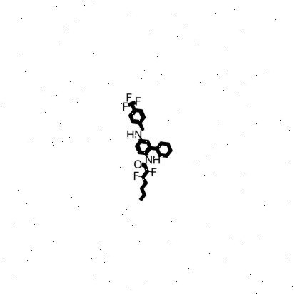 CCCC[C@H](F)[C@@H](F)C(=O)Nc1ccc(NCc2ccc(C(F)(F)F)cc2)cc1C1CCCCC1